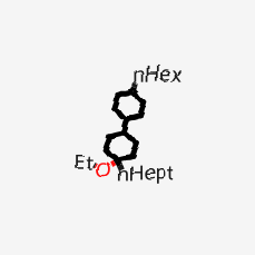 CCCCCCCC1(OCC)CCC(C2CCC(CCCCCC)CC2)CC1